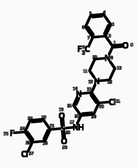 O=C(c1ccccc1C(F)(F)F)N1CCN(c2ncc(NS(=O)(=O)c3ccc(F)c(Cl)c3)cc2Cl)CC1